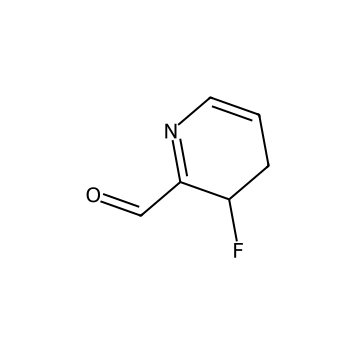 O=CC1=NC=CCC1F